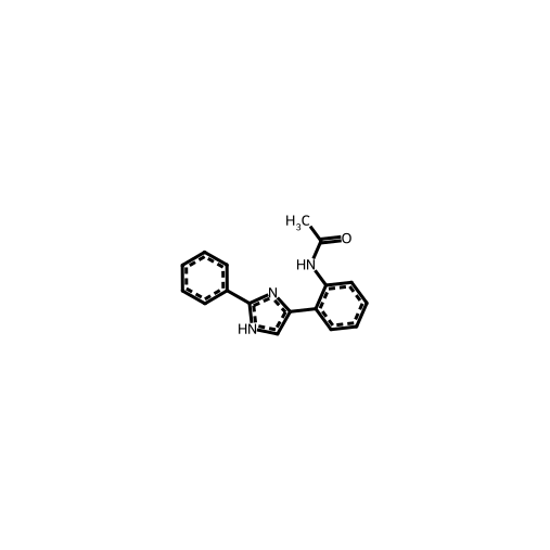 CC(=O)Nc1ccccc1-c1c[nH]c(-c2ccccc2)n1